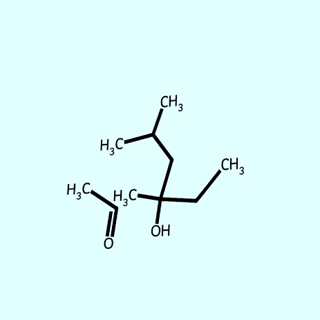 CC=O.CCC(C)(O)CC(C)C